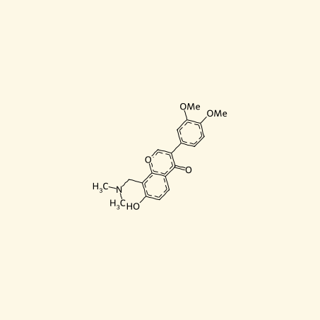 COc1ccc(-c2coc3c(CN(C)C)c(O)ccc3c2=O)cc1OC